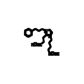 CCCCCCCCCCCCCCn1cc[n+](CCCc2ccccc2)c1CCCCCCCCCCCC